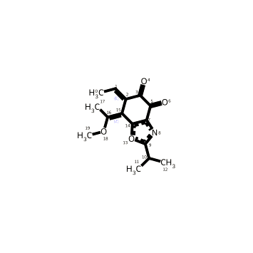 C/C=C1/C(=O)C(=O)c2nc(C(C)C)oc2/C1=C(/C)OC